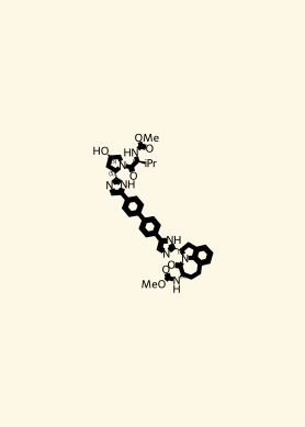 COC(=O)N[C@H]1CCc2cccc3c2N(C1=O)[C@H](c1ncc(-c2ccc(-c4ccc(-c5cnc([C@@H]6C[C@H](O)CN6C(=O)[C@@H](NC(=O)OC)C(C)C)[nH]5)cc4)cc2)[nH]1)C3